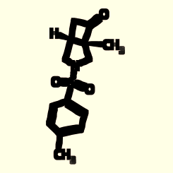 Cc1ccc(S(=O)(=O)N2C[C@@H]3CC(=O)[C@]3(C)C2)cc1